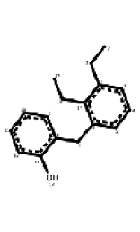 CCc1cccc(Cc2ccccc2O)c1CC